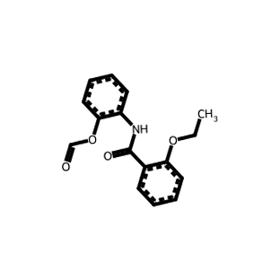 CCOc1ccccc1C(=O)Nc1ccccc1OC=O